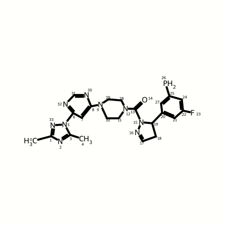 Cc1nc(C)n(-c2cc(N3CCN(C(=O)N4N=CCC4c4cc(F)cc(P)c4)CC3)ncn2)n1